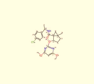 COc1cc(OC)nc(OC2CCC3(C)CC23C(=O)NC(C)c2ccc(Cl)cc2)n1